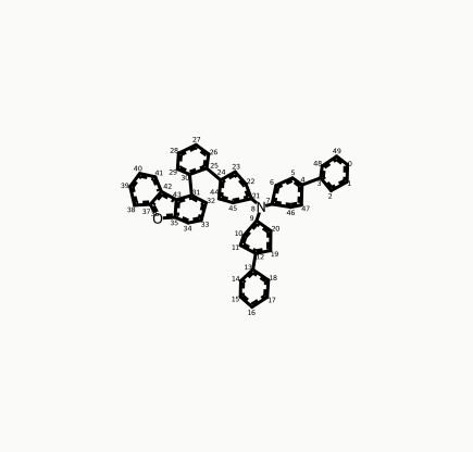 c1ccc(-c2ccc(N(c3ccc(-c4ccccc4)cc3)c3ccc(-c4ccccc4-c4cccc5oc6ccccc6c45)cc3)cc2)cc1